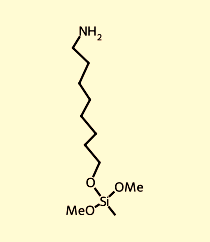 CO[Si](C)(OC)OCCCCCCCCN